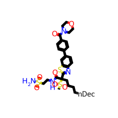 CCCCCCCCCCCCCCC(C(=O)NCCS(N)(=O)=O)(c1nc2ccc(-c3ccc(C(=O)N4CCOCC4)cc3)cc2s1)S(C)(=O)=O